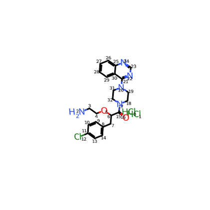 Cl.Cl.NCCOC(Cc1ccc(Cl)cc1)C(=O)N1CCN(c2ncnc3ccccc23)CC1